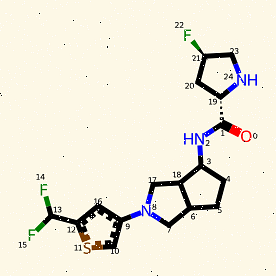 O=C(NC1CCC2CN(c3csc(C(F)F)c3)CC21)[C@@H]1C[C@@H](F)CN1